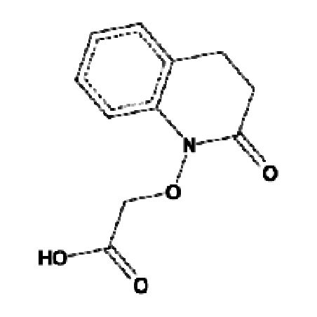 O=C(O)CON1C(=O)CCc2ccccc21